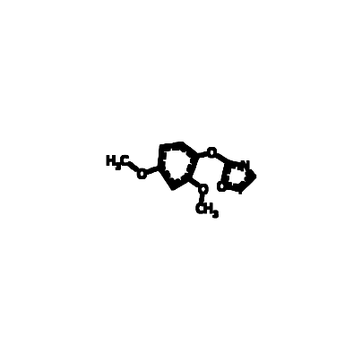 COc1ccc(Oc2nc[c]o2)c(OC)c1